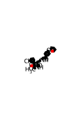 CC1=C(C(=O)O)C(c2cccc(Cl)c2)N(CCCNCC(=O)c2ccc(OC3C=CCCC3)cc2)C(=O)N1